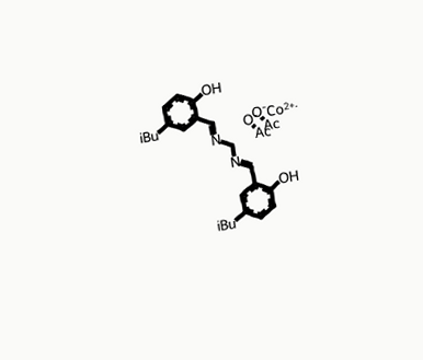 CC(=O)[O-].CC(=O)[O-].CCC(C)c1ccc(O)c(C=NCN=Cc2cc(C(C)CC)ccc2O)c1.[Co+2]